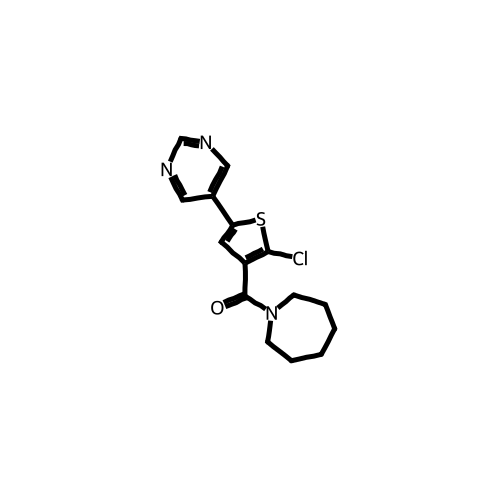 O=C(c1cc(-c2cncnc2)sc1Cl)N1CCCCCC1